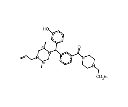 C=CCN1C[C@@H](C)N(C(c2cccc(O)c2)c2cccc(C(=O)N3CCN(CC(=O)OCC)CC3)c2)C[C@H]1C